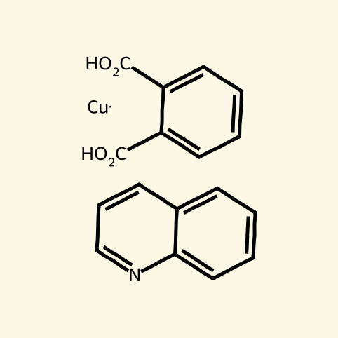 O=C(O)c1ccccc1C(=O)O.[Cu].c1ccc2ncccc2c1